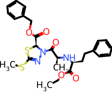 CCOC(=O)[C@H](CCc1ccccc1)N[C@@H](C)C(=O)N1N=C(SC)S[C@H]1C(=O)OCc1ccccc1